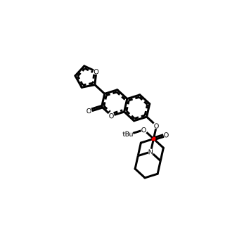 CC(C)(C)OC(=O)N1C2CCCC1CC(Oc1ccc3cc(-c4ccco4)c(=O)oc3c1)C2